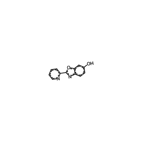 Oc1ccc2nc(-c3ccccn3)oc2c1